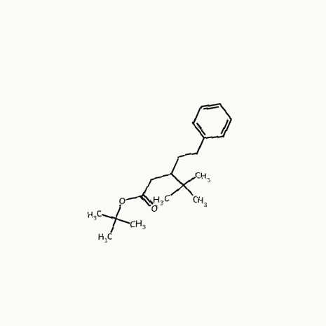 CC(C)(C)OC(=O)CC(CCc1ccccc1)C(C)(C)C